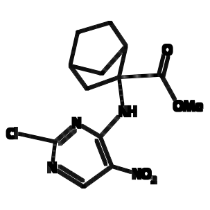 COC(=O)C1(Nc2nc(Cl)ncc2[N+](=O)[O-])CC2CCC1C2